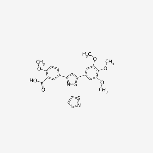 COc1ccc(-c2cc(-c3cc(OC)c(OC)c(OC)c3)sn2)cc1C(=O)O.c1cnsc1